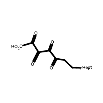 CCCCCCCCCC(=O)C(=O)C(=O)C(=O)C(=O)O